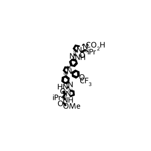 COC(=O)N[C@H](C(=O)N1CCC[C@H]1c1nc2cc([C@H]3CC[C@H](c4ccc5[nH]c([C@@H]6CCCN6C(=O)[C@H](C(C)C)N(C)C(=O)O)nc5c4)N3c3ccc(OC(F)(F)F)cc3)ccc2[nH]1)C(C)C